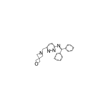 c1ccc(C(=Nc2ccc(CN3CC4(COC4)C3)nn2)c2ccccc2)cc1